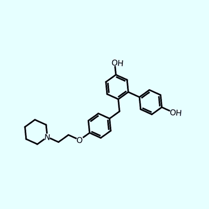 Oc1ccc(-c2cc(O)ccc2Cc2ccc(OCCN3CCCCC3)cc2)cc1